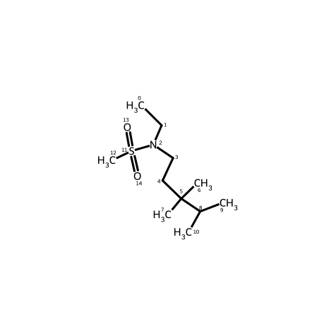 CCN(CCC(C)(C)C(C)C)S(C)(=O)=O